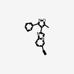 C#Cc1ccc2nc(-c3c(-c4ccccc4)noc3C)cn2c1